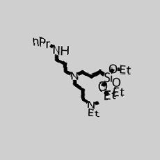 CCCNCCCN(CCCN(C)CC)CCC[Si](OCC)(OCC)OCC